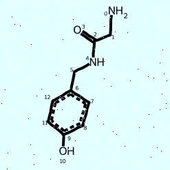 NCC(=O)NCc1ccc(O)cc1